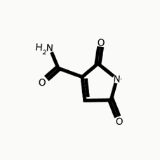 NC(=O)C1=CC(=O)[N]C1=O